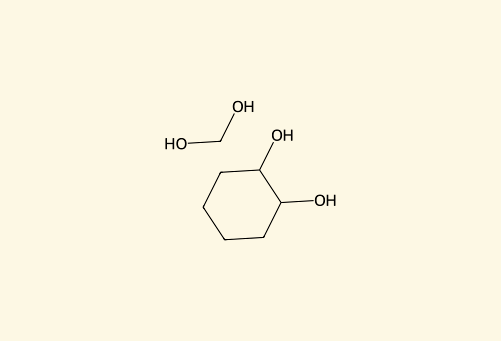 OC1CCCCC1O.OCO